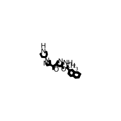 CC(Oc1c(N)ncc2c(-c3cnn(C4CCNCC4)c3)coc12)c1ccc2ccccc2c1